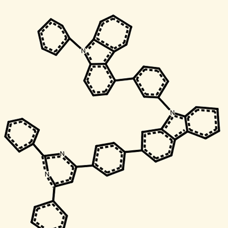 c1ccc(-c2cc(-c3ccc(-c4ccc5c6ccccc6n(-c6cccc(-c7cccc8c7c7ccccc7n8-c7ccccc7)c6)c5c4)cc3)nc(-c3ccccc3)n2)cc1